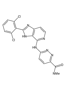 CNC(=O)c1ccc(Nc2nccc3nc(-c4c(Cl)cccc4Cl)[nH]c23)nn1